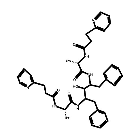 CC(C)[C@H](NC(=O)CCc1ccccn1)C(=O)NC(Cc1ccccc1)C(O)C(Cc1ccccc1)NC(=O)[C@@H](NC(=O)CCc1ccccn1)C(C)C